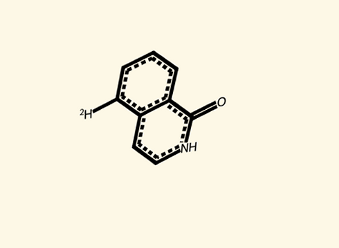 [2H]c1cccc2c(=O)[nH]ccc12